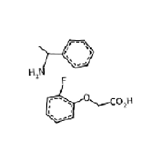 CC(N)c1ccccc1.O=C(O)COc1ccccc1F